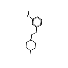 COc1cccc(CCN2CCC(I)CC2)c1